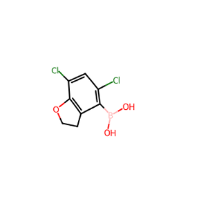 OB(O)c1c(Cl)cc(Cl)c2c1CCO2